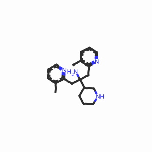 Cc1cccnc1CC(N)(Cc1ncccc1C)C1CCCNC1